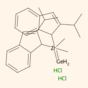 CC(C)C1=Cc2ccccc2[CH]1[Zr]([CH3])([CH3])(=[GeH2])[CH]1C(C(C)C)=Cc2ccccc21.Cl.Cl